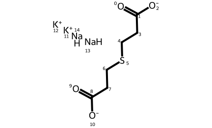 O=C([O-])CCSCCC(=O)[O-].[K+].[K+].[NaH].[NaH]